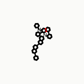 c1ccc(-c2ccc3ccc(-c4ccc5cc(N(c6ccccc6-c6ccccc6)c6cccc7c6c6ccccc6n7-c6ccccc6)ccc5c4)cc3c2)cc1